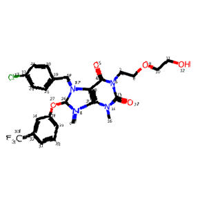 CN1c2c(c(=O)n(CCOCCO)c(=O)n2C)N(Cc2ccc(Cl)cc2)C1Oc1cccc(C(F)(F)F)c1